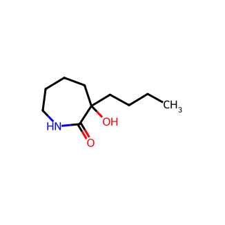 CCCCC1(O)CCCCNC1=O